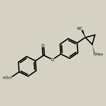 CCCCCCCCc1ccc(C(=O)Oc2ccc([C@]3(C#N)C[C@@H]3CCCCCC)cc2)cc1